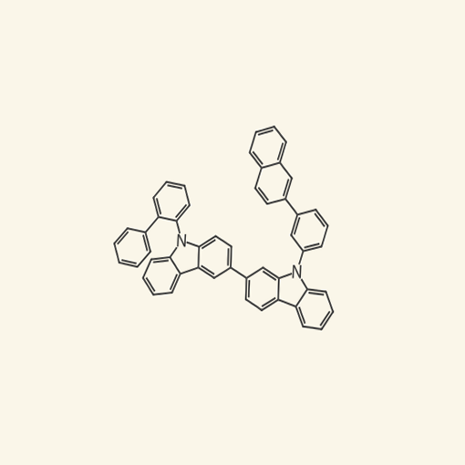 c1ccc(-c2ccccc2-n2c3ccccc3c3cc(-c4ccc5c6ccccc6n(-c6cccc(-c7ccc8ccccc8c7)c6)c5c4)ccc32)cc1